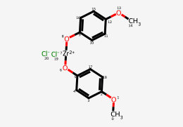 COc1ccc([O][Zr+2][O]c2ccc(OC)cc2)cc1.[Cl-].[Cl-]